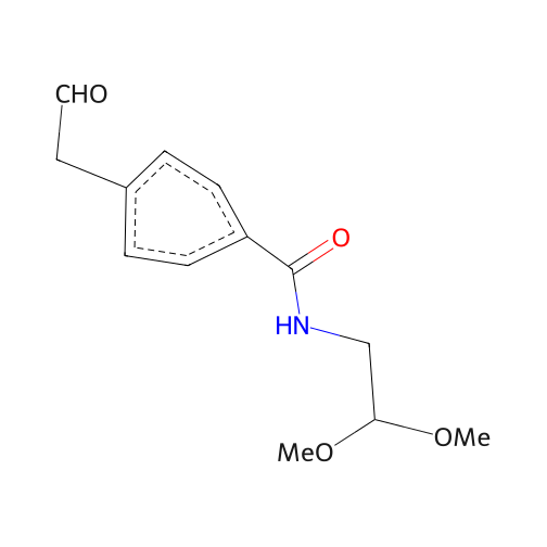 COC(CNC(=O)c1ccc(CC=O)cc1)OC